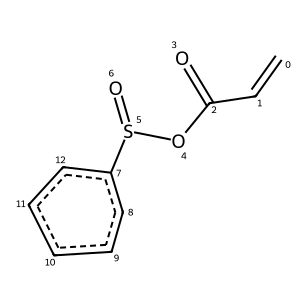 C=CC(=O)OS(=O)c1ccccc1